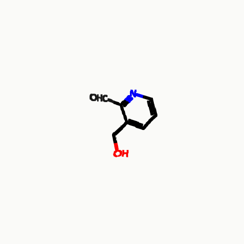 O=Cc1ncccc1CO